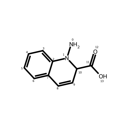 NN1c2ccccc2C=CC1C(=O)O